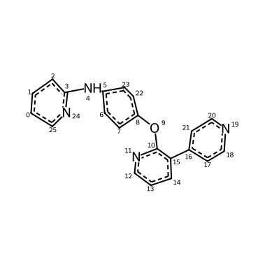 c1ccc(Nc2ccc(Oc3ncccc3-c3ccncc3)cc2)nc1